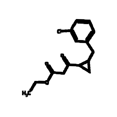 CCOC(=O)CC(=O)C1CC1Cc1cccc(Cl)c1